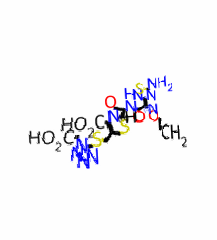 C=CCO/N=C(\C(=O)NC1C(=O)N2C(C(=O)O)=C(CSc3nnnn3CC(=O)O)CS[C@H]12)c1nsc(N)n1